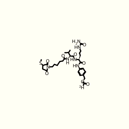 [2H]C(=O)OCc1ccc(NC(=O)[C@H](CCCNC(N)=O)NC(=O)[C@@H](NC(=O)CCCCCN2C(=O)CC(SC)C2=O)C(C)C)cc1